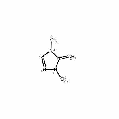 C=C1N(C)C=NN1C